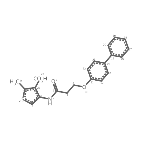 Cc1scc(NC(=O)CCOc2ccc(-c3ccccc3)cc2)c1C(=O)O